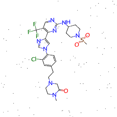 CN1CCN(CCc2ccc(-n3cnc(-c4nc(NC5CCN(S(C)(=O)=O)CC5)ncc4C(F)(F)F)c3)c(Cl)c2)CC1=O